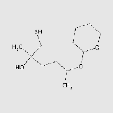 CC(CCC(C)(O)CS)OC1CCCCO1